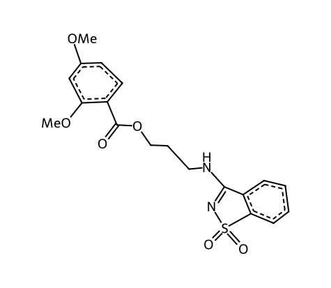 COc1ccc(C(=O)OCCCNC2=NS(=O)(=O)c3ccccc32)c(OC)c1